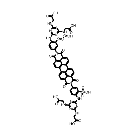 O=C(O)CNc1nc(NCC(=O)O)nc(Nc2ccc(N3C(=O)c4ccc5c6ccc7c8c(ccc(c9ccc(c4c59)C3=O)c86)C(=O)N(c3ccc(Nc4nc(NCC(=O)O)nc(NCC(=O)O)n4)c(S(=O)(=O)O)c3)C7=O)cc2SOOO)n1